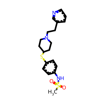 CS(=O)(=O)Nc1ccc(SC2CCN(CCc3cccnc3)CC2)cc1